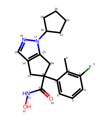 Cc1c(F)cccc1C1(C(=O)NO)Cc2cnn(C3CCCC3)c2C1